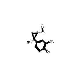 N#C[C@]1(c2ccc(Cl)c(C(F)(F)F)c2)C[C@@H]1CO